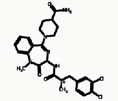 C[C@@H](Cc1ccc(Cl)c(Cl)c1)C(=O)NC1N=C(N2CCC(C(N)=O)CC2)c2ccccc2N(C)C1=O